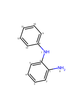 Nc1c[c]ccc1Nc1ccccc1